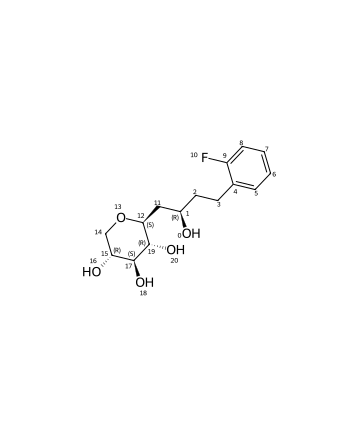 O[C@H](CCc1ccccc1F)C[C@@H]1OC[C@@H](O)[C@H](O)[C@H]1O